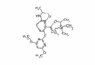 COc1cc(OC)nc(Oc2ccc3c(c2C(=O)OC(C)[Si](C)(C)C)OCC(C)N3)n1